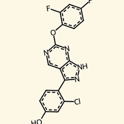 Oc1ccc(-c2n[nH]c3nc(Oc4ccc(F)cc4F)ncc23)c(Cl)c1